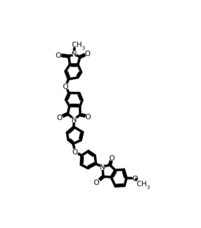 COc1ccc2c(c1)C(=O)N(c1ccc(Oc3ccc(N4C(=O)c5ccc(Oc6ccc7c(c6)C(=O)N(C)C7=O)cc5C4=O)cc3)cc1)C2=O